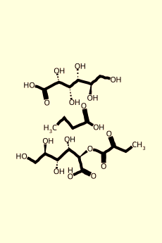 CCC(=O)C(=O)O[C@@H](C(=O)O)[C@@H](O)[C@H](O)[C@H](O)CO.CCCC(=O)O.O=C(O)[C@H](O)[C@@H](O)[C@H](O)[C@H](O)CO